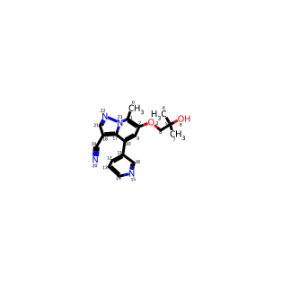 Cc1c(OCC(C)(C)O)cc(-c2cccnc2)c2c(C#N)cnn12